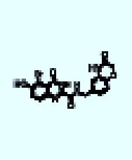 O=C1COc2ccc(CNC(=O)c3nc4ccc(O)c(Br)c4c(=O)[nH]3)cc2N1